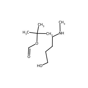 CC(C)(C)OC=O.CNCCCCO